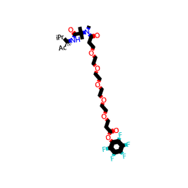 CC(=O)[C@@H](NC(=O)C(C)(C)N(C)C(=O)CCOCCOCCOCCOCCOCCC(=O)Oc1c(F)c(F)c(F)c(F)c1F)C(C)C